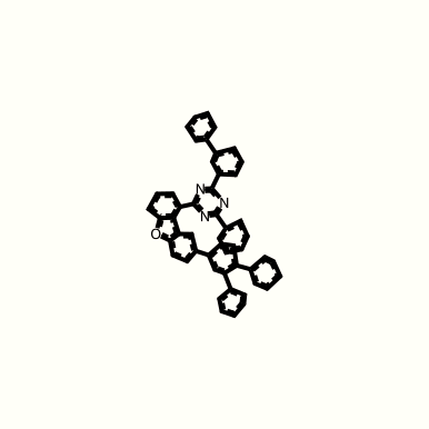 c1ccc(-c2cccc(-c3nc(-c4ccccc4)nc(-c4cccc5oc6ccc(-c7ccc(-c8ccccc8)c(-c8ccccc8)c7)cc6c45)n3)c2)cc1